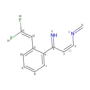 C=N/C=C\C(=N)c1ccccc1C=C(F)F